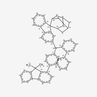 CC1(C)c2ccccc2-c2cccc(-c3ccc(N(c4ccc5c(c4)C4(c6ccccc6-5)C5CC6CC(C5)CC4C6)c4ccccc4-c4ccccc4)cc3)c21